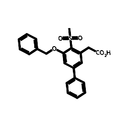 CS(=O)(=O)c1c(CC(=O)O)cc(-c2ccccc2)cc1OCc1ccccc1